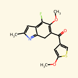 COC1=C(C(=O)c2csc(OC)c2)CC2=NC(C)=[C]C2=C1F